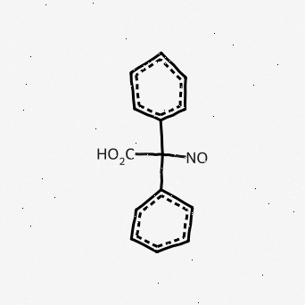 O=NC(C(=O)O)(c1ccccc1)c1ccccc1